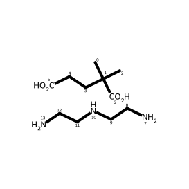 CC(C)(CCC(=O)O)C(=O)O.NCCNCCN